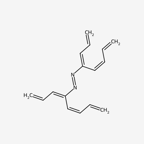 C=C/C=C\C(=C/C=C)N=NC(/C=C\C=C)=C/C=C